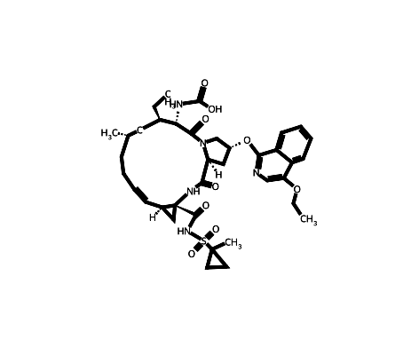 CCOc1cnc(O[C@@H]2C[C@H]3C(=O)N[C@]4(C(=O)NS(=O)(=O)C5(C)CC5)C[C@H]4/C=C\CC[C@H](C)C[C@@H](CC)[C@H](NC(=O)O)C(=O)N3C2)c2ccccc12